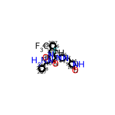 Cc1c(N2CCN(Cc3ccc(=O)[nH]c3)CC2)c(=O)n(C[C@@H](N)c2ccccc2)c(=O)n1Cc1c(F)cccc1C(F)(F)F